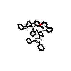 c1ccc(-c2nc(-c3ccccc3)nc(-c3ccc(-n4c5ccccc5c5ccccc54)c4oc5c(-n6c7ccccc7c7ccc8c9ccccc9sc8c76)cccc5c34)n2)cc1